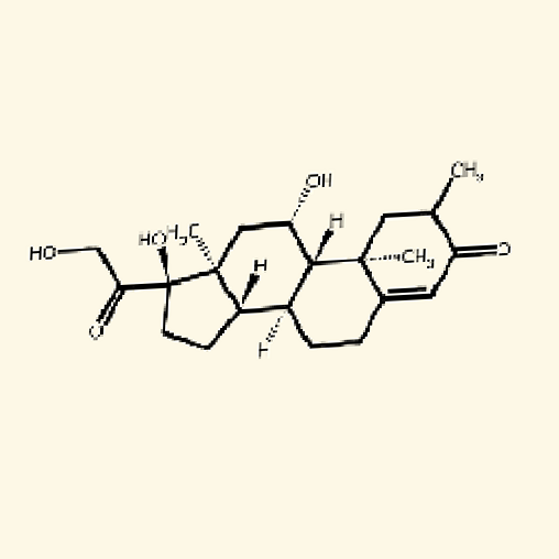 CC1C[C@@]2(C)C(=CC1=O)CC[C@@H]1[C@@H]2[C@@H](O)C[C@@]2(C)[C@H]1CC[C@]2(O)C(=O)CO